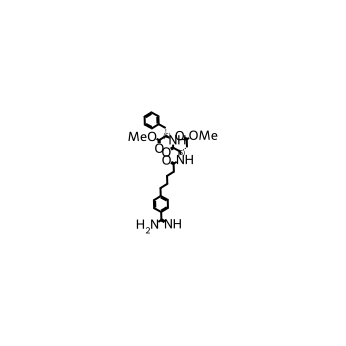 COC(=O)C[C@H](NC(=O)CCCCc1ccc(C(=N)N)cc1)C(=O)N[C@@H](Cc1ccccc1)C(=O)OC